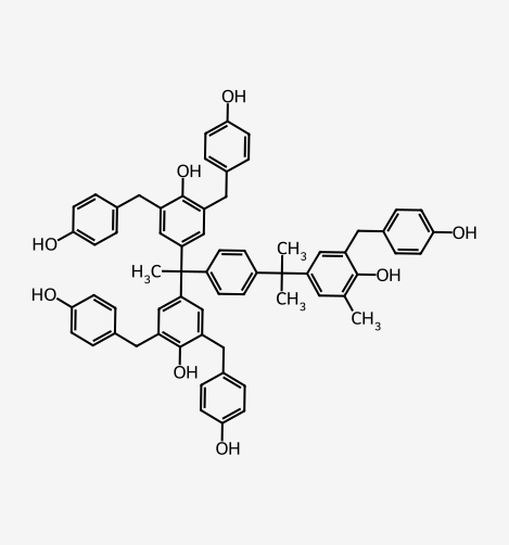 Cc1cc(C(C)(C)c2ccc(C(C)(c3cc(Cc4ccc(O)cc4)c(O)c(Cc4ccc(O)cc4)c3)c3cc(Cc4ccc(O)cc4)c(O)c(Cc4ccc(O)cc4)c3)cc2)cc(Cc2ccc(O)cc2)c1O